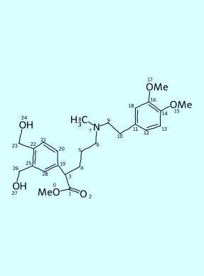 COC(=O)C(CCCN(C)CCc1ccc(OC)c(OC)c1)c1ccc(CO)c(CO)c1